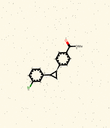 COC(=O)c1ccc([C@H]2CC2c2cccc(Br)c2)cc1